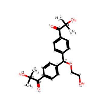 CC(C)(O)C(=O)c1ccc(C(OCCO)c2ccc(C(=O)C(C)(C)O)cc2)cc1